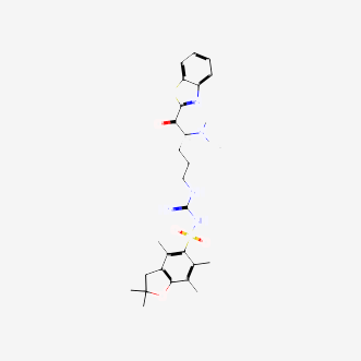 Cc1c(C)c(S(=O)(=O)NC(=N)NCCC[C@@H](C(=O)c2nc3ccccc3s2)N(C(=O)O)C(C)(C)C)c(C)c2c1OC(C)(C)C2